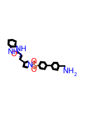 NCc1ccc(-c2ccc(S(=O)(=O)n3ccc(C=CC(=O)Nc4ccccc4N)c3)cc2)cc1